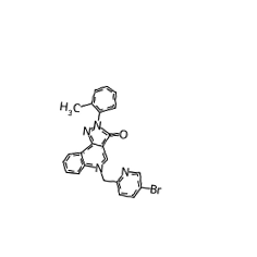 Cc1ccccc1-n1nc2c3ccccc3n(Cc3ccc(Br)cn3)cc-2c1=O